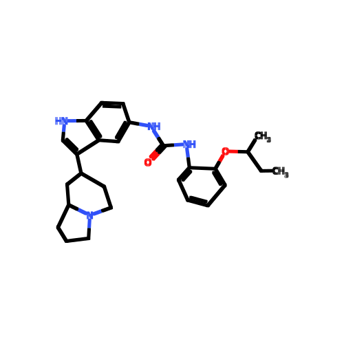 CCC(C)Oc1ccccc1NC(=O)Nc1ccc2[nH]cc(C3CCN4CCCC4C3)c2c1